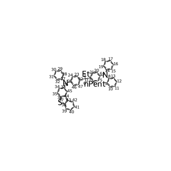 CCCCCC(CC)(c1ccc(N(c2ccccc2)c2ccccc2)cc1)c1ccc(N(c2ccccc2)c2ccc3sc4ccccc4c3c2)cc1